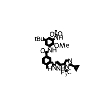 COc1c(NC(=O)c2ccc(C)c(N3C=C(C4CN=C(C5CC5)N4CC(F)(F)F)NN3)c2)cc(C(C)(C)C)cc1NS(C)(=O)=O